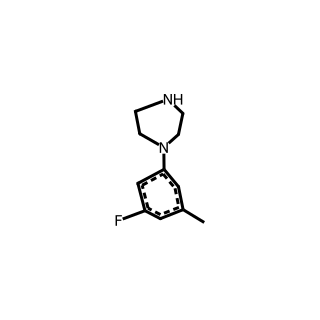 Cc1cc(F)cc(N2CCNCC2)c1